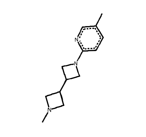 Cc1ccc(N2CC(C3CN(C)C3)C2)nc1